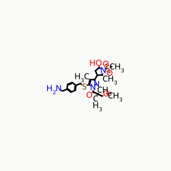 COCC(C)(C)C(=O)n1nc(C2CC(O)N(S(C)(=O)=O)C2C)c(C)c1SCc1ccc(CN)cc1